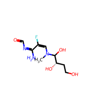 CN(/C=C(F)\C(N)=N/C=O)C(O)[C@@H](O)CCO